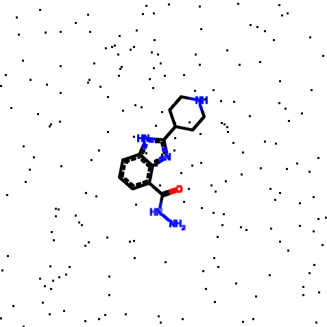 NNC(=O)c1cccc2[nH]c(C3CCNCC3)nc12